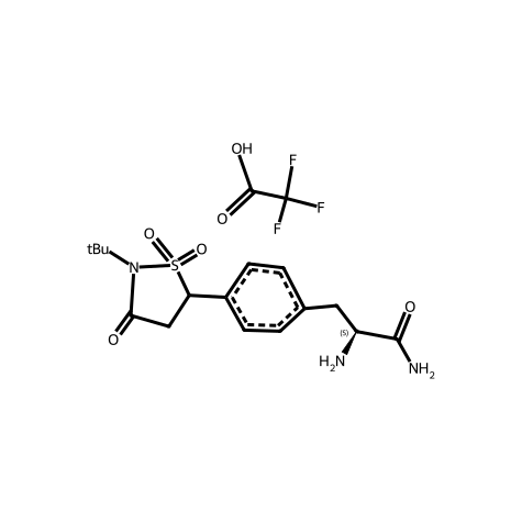 CC(C)(C)N1C(=O)CC(c2ccc(C[C@H](N)C(N)=O)cc2)S1(=O)=O.O=C(O)C(F)(F)F